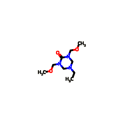 CCN1CN(COC)C(=O)N(COC)C1